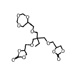 CCC(COCC1COCOCO1)(COCC1COC(=O)O1)COCC1COC(=O)O1